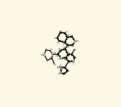 Cc1cnc(-c2ccn[nH]2)c2nc(N3CCOCC3C)cc(-c3cncc4ccccc34)c12